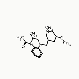 COC1CC(CN2C[C@H](C)N(C(C)=O)c3ccccc32)CN(C)C1